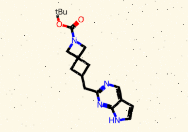 CC(C)(C)OC(=O)N1CC2(CC(Cc3ncc4cc[nH]c4n3)C2)C1